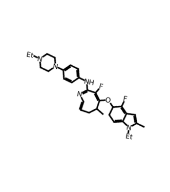 CCN1CCN(c2ccc(NC3=N/C=C/CC(C)/C(OC4CC=c5c(cc(C)n5CC)=C4F)=C\3F)cc2)CC1